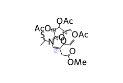 C=CC(=O)/C(=C\N(C(C)=S)[C@@H]1O[C@H](COC(C)=O)C(OC(C)=O)[C@@H]1OC(C)=O)CC(=O)OC